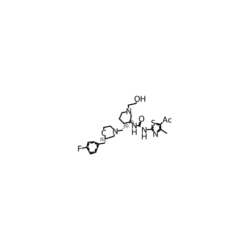 CC(=O)c1sc(NC(=O)N[C@H]2CN(CCO)CC[C@H]2CN2CCC[C@@H](Cc3ccc(F)cc3)C2)nc1C